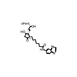 CCCCC[C@H](O)/C=C/[C@H]1[C@H](O)CC(=O)[C@@H]1CCCCCCC(=O)Nc1ccc2nccnc2c1